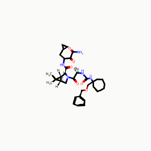 CC(C)(C)[C@H](NC(=O)NC1(COCc2ccccc2)CCCCCC1)C(=O)N1C[C@H]2[C@@H]([C@H]1C(=O)NC(CC1CC1)C(=O)C(N)=O)C2(C)C